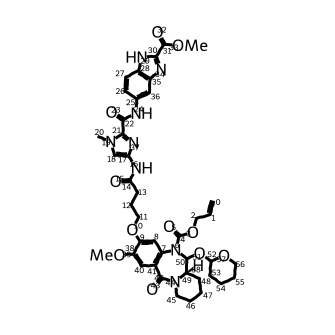 C=CCOC(=O)N1c2cc(OCCCC(=O)Nc3cn(C)c(C(=O)Nc4ccc5[nH]c(C(=O)OC)nc5c4)n3)c(OC)cc2C(=O)N2CCCC[C@H]2C1OC1CCCCO1